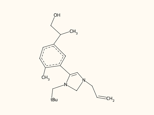 C=CCN1C=C(c2cc(C(C)CO)ccc2C)N(CC(C)(C)C)C1